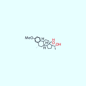 COc1ccc2c(c1)[C@@H](C)C[C@@H]1[C@@H]2CC[C@@]2(C)[C@H]1CC[C@]2(O)[C@H](C)O